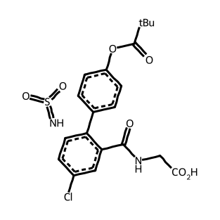 CC(C)(C)C(=O)Oc1ccc(-c2ccc(Cl)cc2C(=O)NCC(=O)O)cc1.N=S(=O)=O